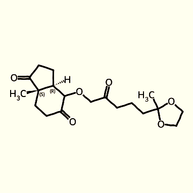 CC1(CCCC(=O)COC2C(=O)CC[C@]3(C)C(=O)CC[C@@H]23)OCCO1